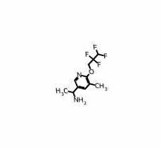 Cc1cc(C(C)N)cnc1OCC(F)(F)C(F)F